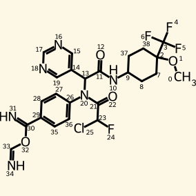 COC1(C(F)(F)F)CCC(NC(=O)C(c2cncnc2)N(C(=O)C(F)Cl)c2ccc(C(=N)OC=N)cc2)CC1